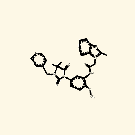 Cc1nc2ccccc2n1CC(=O)Nc1cc(N2C(=O)N(Cc3ccncc3)C(C)(C)C2=O)ccc1OC(F)(F)F